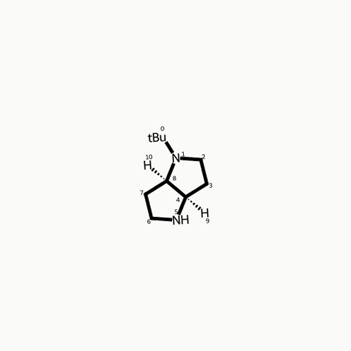 CC(C)(C)N1CC[C@H]2NCC[C@H]21